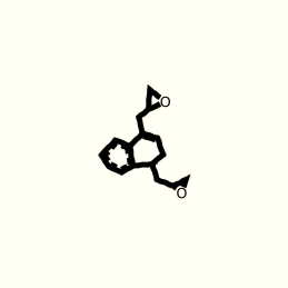 C1=C(CC2CO2)c2ccccc2[C](CC2CO2)C1